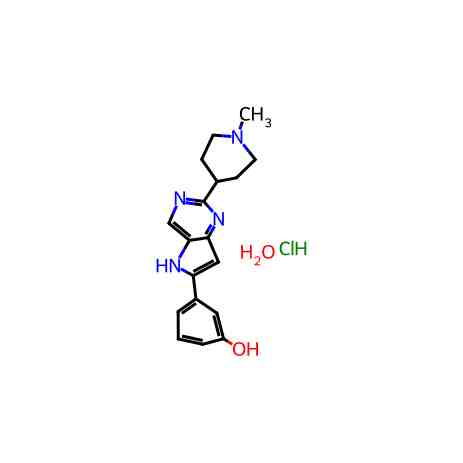 CN1CCC(c2ncc3[nH]c(-c4cccc(O)c4)cc3n2)CC1.Cl.O